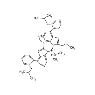 CCCC1=Cc2c(-c3ccccc3CC(C)C)cccc2[CH]1[Hf]([CH]1C(CCC)=Cc2c(-c3ccccc3CC(C)C)cccc21)[SiH](C)C